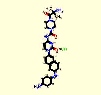 CC(C)(N)C(=O)N1CCN(C(=O)Nc2ccn(-c3ccc4c(c3)CCC(NC3CCC(N)CC3)C4)c(=O)n2)CC1.Cl